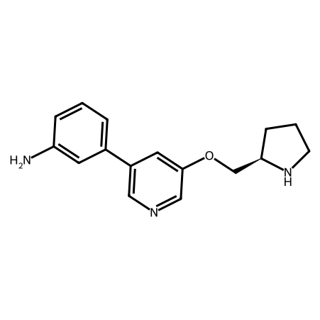 Nc1cccc(-c2cncc(OC[C@H]3CCCN3)c2)c1